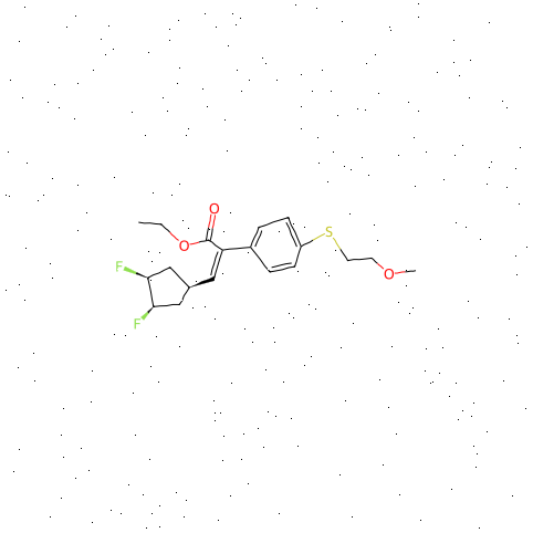 CCOC(=O)/C(=C\[C@H]1C[C@@H](F)[C@@H](F)C1)c1ccc(SCCOC)cc1